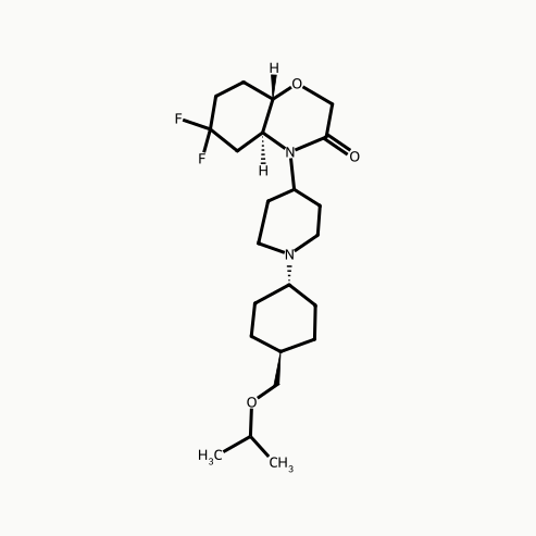 CC(C)OC[C@H]1CC[C@H](N2CCC(N3C(=O)CO[C@H]4CCC(F)(F)C[C@@H]43)CC2)CC1